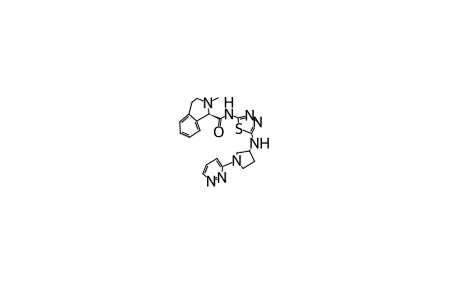 CN1CCc2ccccc2[C@@H]1C(=O)Nc1nnc(N[C@@H]2CCN(c3cccnn3)C2)s1